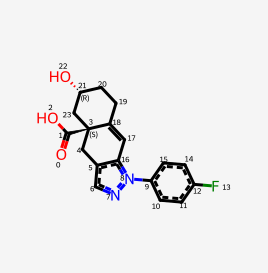 O=C(O)[C@]12Cc3cnn(-c4ccc(F)cc4)c3C=C1CC[C@@H](O)C2